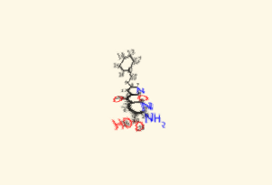 Nc1nc2oc3ncc(CCC4CCCCC4)cc3c(=O)c2cc1C(=O)O